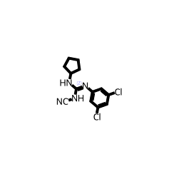 N#CN/C(=N\c1cc(Cl)cc(Cl)c1)NC1CCCC1